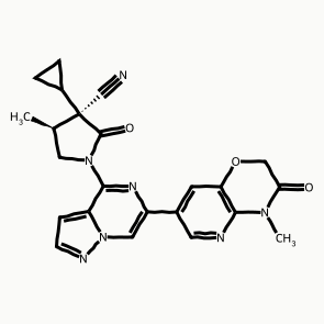 C[C@@H]1CN(c2nc(-c3cnc4c(c3)OCC(=O)N4C)cn3nccc23)C(=O)[C@]1(C#N)C1CC1